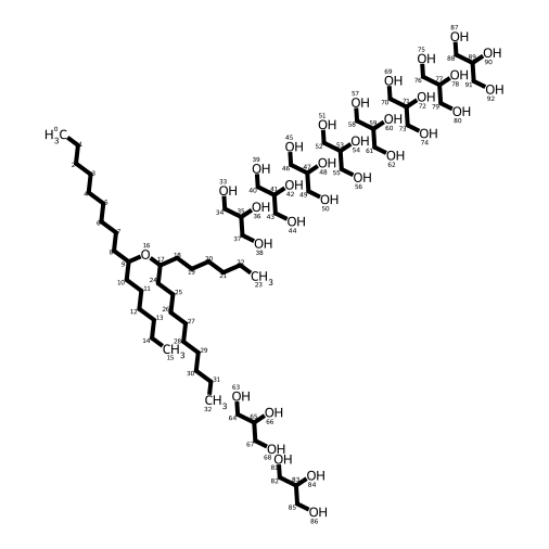 CCCCCCCCCC(CCCCCC)OC(CCCCCC)CCCCCCCCC.OCC(O)CO.OCC(O)CO.OCC(O)CO.OCC(O)CO.OCC(O)CO.OCC(O)CO.OCC(O)CO.OCC(O)CO.OCC(O)CO.OCC(O)CO